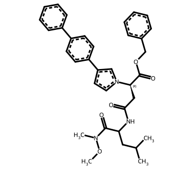 CON(C)C(=O)C(CC(C)C)NC(=O)C[C@H](C(=O)OCc1ccccc1)n1ccc(-c2ccc(-c3ccccc3)cc2)c1